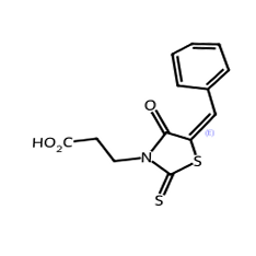 O=C(O)CCN1C(=O)/C(=C\c2ccccc2)SC1=S